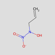 C=CCN(O)[N+](=O)[O-]